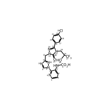 O=C(O)Nc1cccnc1-n1cnc(Cn2nc(-c3ccc(Cl)cc3)n(CC(O)C(F)(F)F)c2=O)n1